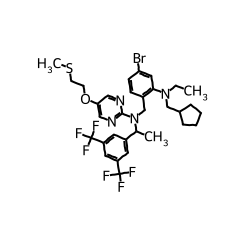 CCN(CC1CCCC1)c1cc(Br)ccc1CN(c1ncc(OCCSC)cn1)C(C)c1cc(C(F)(F)F)cc(C(F)(F)F)c1